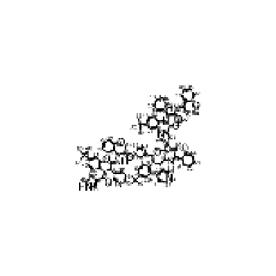 CC(C)(C)c1ccc(N(C(=O)c2cn(O[C@@H]3COc4ccccc4[C@@H]3NC(=O)C(c3cccnc3)N(C(=O)c3c[nH]cn3)c3ccc(C(C)(C)C)cc3)cn2)C(C(=O)N[C@@H]2c3ccccc3OC[C@H]2On2cnc(C(=O)N(c3ccc(C(C)(C)C)cc3)C(C(=O)N[C@H]3c4ccccc4OC[C@@H]3O)c3cccnc3)c2)c2cccnc2)cc1